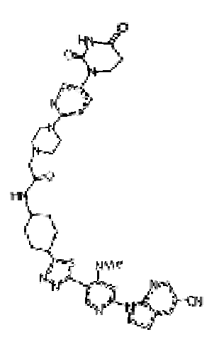 CNc1cc(-n2ccc3cc(C#N)cnc32)ncc1-c1nnc(C2CCC(NC(=O)CN3CCN(c4ccc(N5CCC(=O)NC5=O)cn4)CC3)CC2)s1